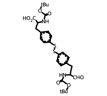 CC(C)(C)OC(=O)NC(C=O)Cc1ccc(SSc2ccc(CC(NC(=O)OC(C)(C)C)C(=O)O)cc2)cc1